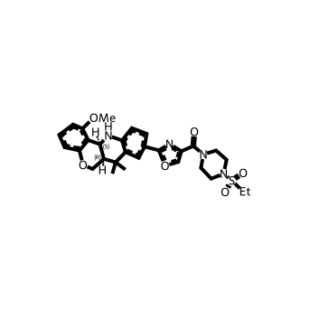 CCS(=O)(=O)N1CCN(C(=O)c2coc(-c3ccc4c(c3)C(C)(C)[C@H]3COc5cccc(OC)c5[C@H]3N4)n2)CC1